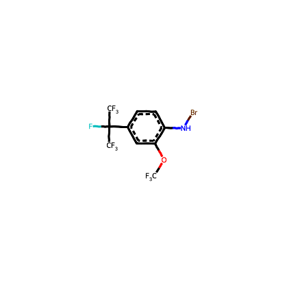 FC(F)(F)Oc1cc(C(F)(C(F)(F)F)C(F)(F)F)ccc1NBr